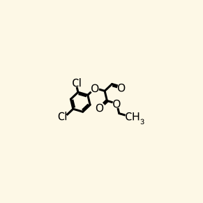 CCOC(=O)C(C=O)Oc1ccc(Cl)cc1Cl